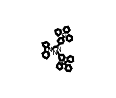 c1ccc([Si](c2ccccc2)(c2ccccc2)c2ccc(-c3cc(-n4c5ccccc5c5ccccc54)nc(-c4ccc([Si](c5ccccc5)(c5ccccc5)c5ccccc5)cc4)n3)cc2)cc1